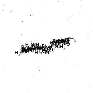 CCC(CCOC(=O)N(C)C1CC(C)(C)CC(C)(CNC(=O)Nc2nc(=O)cc(C)[nH]2)C1)CC(C)CC(CC)C(C)CC(CC)CCOC(=O)NC1CC(C)(C)CC(C)(CNC(=O)Nc2nc(=O)cc(C)[nH]2)C1